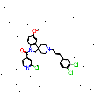 COc1ccc2c(c1)C1(CCN(C/C=C/c3ccc(Cl)c(Cl)c3)CC1)CN2C(=O)c1ccnc(Cl)c1